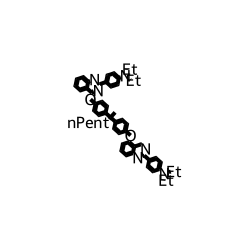 CCCCCC(C)(c1ccc(Oc2cccc3nc(-c4ccc(N(CC)CC)cc4)ncc23)cc1)c1ccc(Oc2nc(-c3ccc(N(CC)CC)cc3)nc3ccccc23)cc1